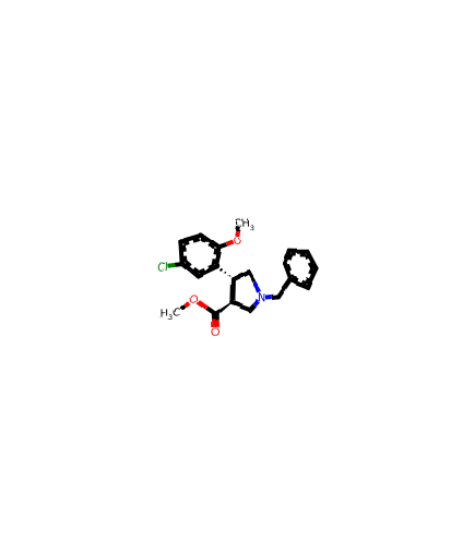 COC(=O)[C@@H]1CN(Cc2ccccc2)C[C@H]1c1cc(Cl)ccc1OC